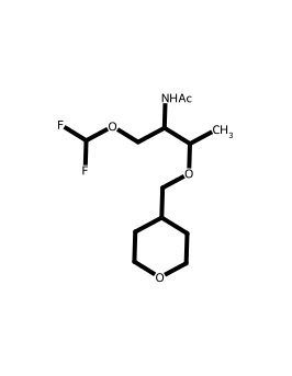 CC(=O)NC(COC(F)F)C(C)OCC1CCOCC1